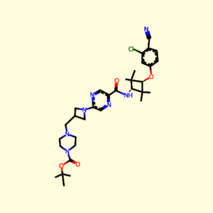 CC(C)(C)OC(=O)N1CCN(CC2CN(c3cnc(C(=O)N[C@H]4C(C)(C)[C@H](Oc5ccc(C#N)c(Cl)c5)C4(C)C)cn3)C2)CC1